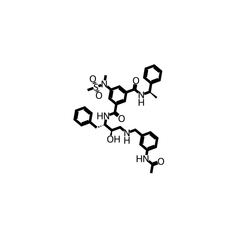 CC(=O)Nc1cccc(CNC[C@@H](O)[C@H](Cc2ccccc2)NC(=O)c2cc(C(=O)N[C@H](C)c3ccccc3)cc(N(C)S(C)(=O)=O)c2)c1